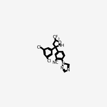 N#Cc1cc(C2(c3cc(Cl)cc(Cl)c3)CC(C(F)(F)F)ON2)ccc1-n1cncn1